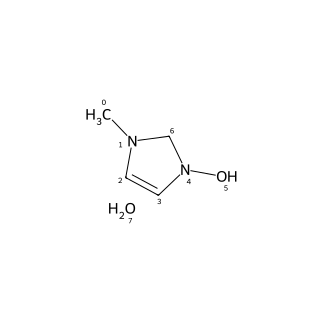 CN1C=CN(O)C1.O